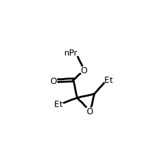 CCCOC(=O)C1(CC)OC1CC